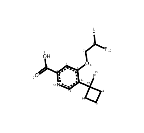 O=C(O)c1cc(OCC(F)F)c(C2(F)CCC2)cn1